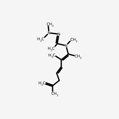 C=C(C)CC=C/C(C)=C(\C)N(C)/C(C)=N/N(C)C